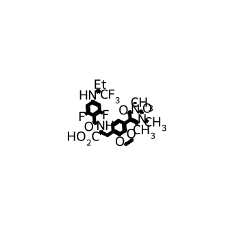 CCC(Nc1cc(F)c(C(=O)NC(Cc2ccc(-c3c(C)n(C)c(=O)n(C)c3=O)c3c2OCCO3)C(=O)O)c(F)c1)C(F)(F)F